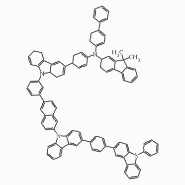 CC1(C)C2=CC(N(C3=CCC(C4=CCC5C(=C4)C4=C(C=CCC4)N5c4cccc(-c5ccc6cc(-n7c8ccccc8c8cc(-c9ccc(-c%10ccc%11c(c%10)c%10ccccc%10n%11-c%10ccccc%10)cc9)ccc87)ccc6c5)c4)C=C3)C3=CC=C(c4ccccc4)CC3)CC=C2c2ccccc21